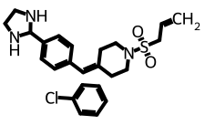 C=CCS(=O)(=O)N1CCC(=Cc2ccc(C3NCCN3)cc2)CC1.Clc1ccccc1